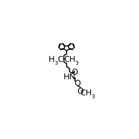 COCCOCCNC(=O)CCCCCC(C)(C)CCC1c2ccccc2-c2ccccc21